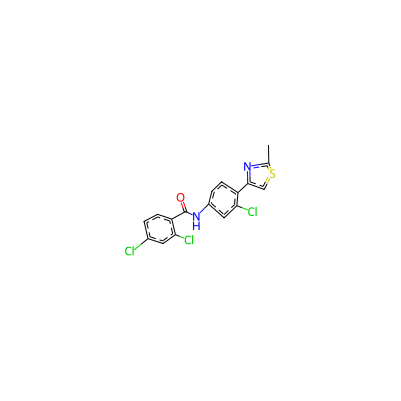 Cc1nc(-c2ccc(NC(=O)c3ccc(Cl)cc3Cl)cc2Cl)cs1